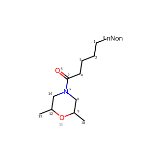 CCCCCCCCCCCCCC(=O)N1CC(C)OC(C)C1